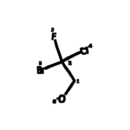 [O]CC(F)(Cl)Br